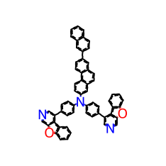 c1ccc2cc(-c3ccc4c(ccc5cc(N(c6ccc(-c7cncc8oc9ccccc9c78)cc6)c6ccc(-c7cncc8oc9ccccc9c78)cc6)ccc54)c3)ccc2c1